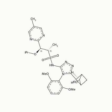 COc1cccc(OC)c1-n1c(NS(=O)(=O)[C@@H](C)[C@@H](OC(C)C)c2ncc(C)cn2)nnc1[C@H]1C2CC1[C@H]2O